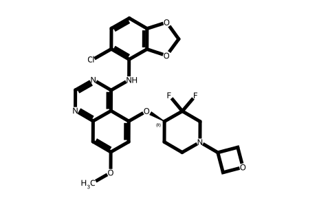 COc1cc(O[C@@H]2CCN(C3COC3)CC2(F)F)c2c(Nc3c(Cl)ccc4c3OCO4)ncnc2c1